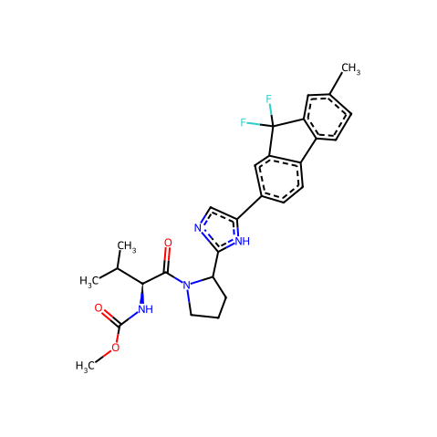 COC(=O)N[C@H](C(=O)N1CCCC1c1ncc(-c2ccc3c(c2)C(F)(F)c2cc(C)ccc2-3)[nH]1)C(C)C